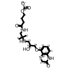 CC(C)(CNC(=O)CCCO[N+](=O)[O-])NCC(O)COc1cccc2c1SCC(=O)N2